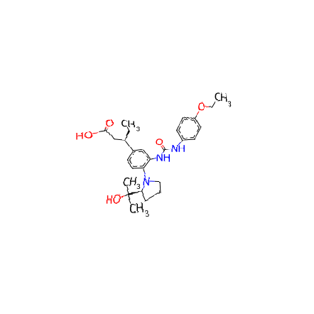 CCOc1ccc(NC(=O)Nc2cc([C@H](CC)CC(=O)O)ccc2N2CCC[C@H]2C(C)(C)O)cc1